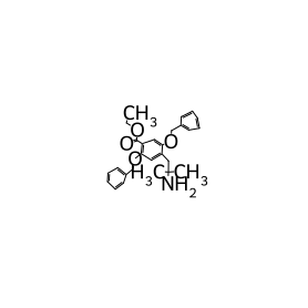 CCOC(=O)c1cc(OCc2ccccc2)c(CC(C)(C)N)cc1OCc1ccccc1